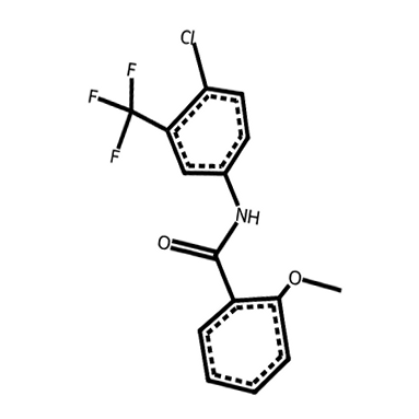 COc1ccccc1C(=O)Nc1ccc(Cl)c(C(F)(F)F)c1